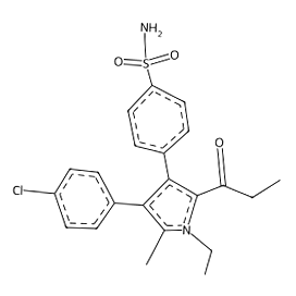 CCC(=O)c1c(-c2ccc(S(N)(=O)=O)cc2)c(-c2ccc(Cl)cc2)c(C)n1CC